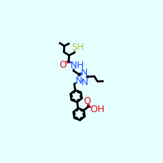 CCCc1nc(CNC(=O)C(CS)CC(C)C)n(Cc2ccc(-c3ccccc3C(=O)O)cc2)n1